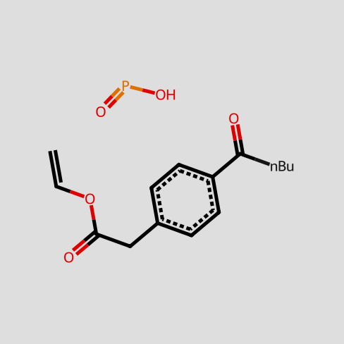 C=COC(=O)Cc1ccc(C(=O)CCCC)cc1.O=PO